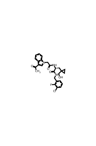 CC(=O)c1cn(CC(=O)N[C@@H](CC2(CO)CC2)C(=O)NCc2cccc(Cl)c2F)c2ccccc12